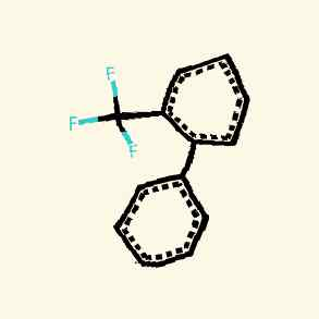 FC(F)(F)c1ccccc1-c1cc[c]cc1